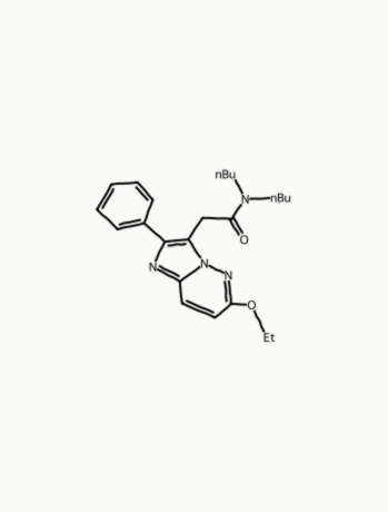 CCCCN(CCCC)C(=O)Cc1c(-c2ccccc2)nc2ccc(OCC)nn12